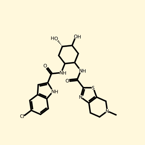 CN1CCc2nc(C(=O)NC3CC(O)[C@@H](O)CC3NC(=O)c3cc4cc(Cl)ccc4[nH]3)sc2C1